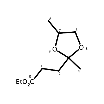 CCOC(=O)CCC1(C)OCC(C)O1